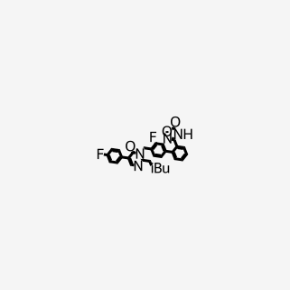 CCC(C)Cc1ncc(-c2ccc(F)cc2)c(=O)n1Cc1ccc(-c2ccccc2-c2noc(=O)[nH]2)cc1F